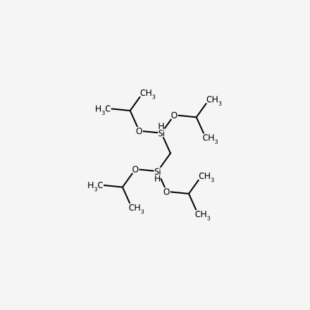 CC(C)O[SiH](C[SiH](OC(C)C)OC(C)C)OC(C)C